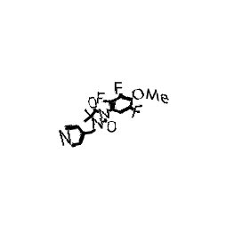 COc1c(F)cc(N2C(=O)N(Cc3ccncc3)C(C)(C)C2=O)c(F)c1F